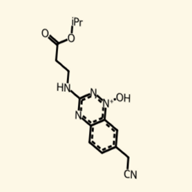 CC(C)OC(=O)CCNc1nc2ccc(CC#N)cc2[n+](O)n1